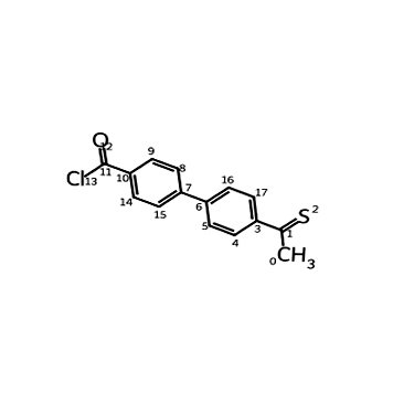 CC(=S)c1ccc(-c2ccc(C(=O)Cl)cc2)cc1